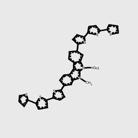 CCCCCCCCn1c2cc(-c3ccc(-c4ccc(-c5cccs5)s4)s3)ccc2c2c3ccc(-c4ccc(-c5ccc(-c6cccs6)s5)s4)cc3n(C)c21